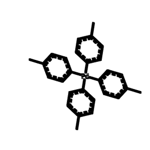 Cc1cc[c]([Pd]([c]2ccc(C)cc2)([c]2ccc(C)cc2)[c]2ccc(C)cc2)cc1